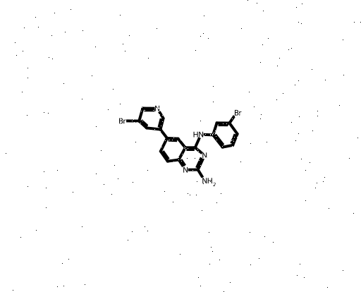 Nc1nc(Nc2cccc(Br)c2)c2cc(-c3cncc(Br)c3)ccc2n1